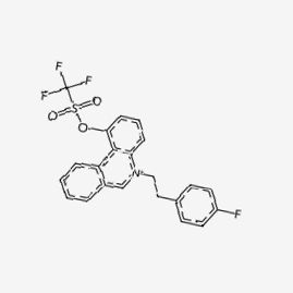 O=S(=O)(Oc1cccc2c1c1ccccc1c[n+]2CCc1ccc(F)cc1)C(F)(F)F